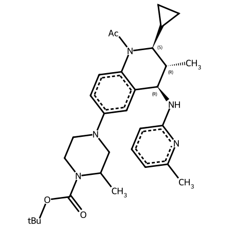 CC(=O)N1c2ccc(N3CCN(C(=O)OC(C)(C)C)C(C)C3)cc2[C@H](Nc2cccc(C)n2)[C@@H](C)[C@@H]1C1CC1